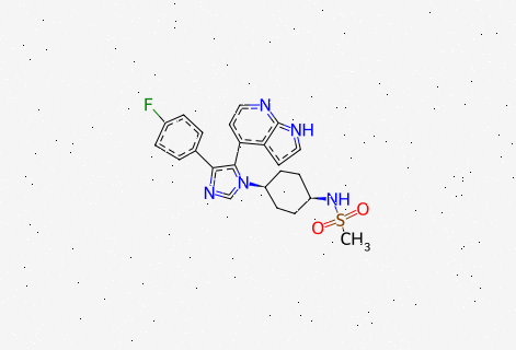 CS(=O)(=O)N[C@H]1CC[C@@H](n2cnc(-c3ccc(F)cc3)c2-c2ccnc3[nH]ccc23)CC1